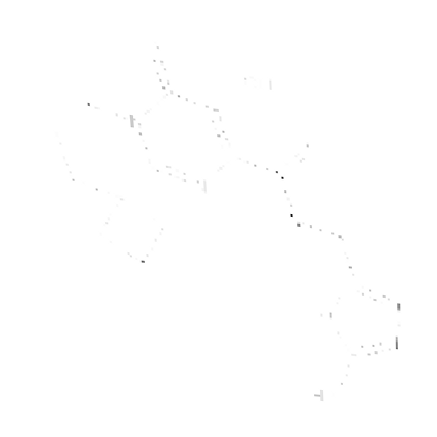 Cc1ccc(CNC(=O)c2nc3n(c(=O)c2O)CCCC32CCC2)o1